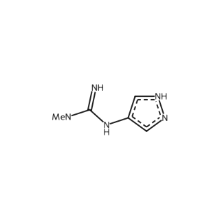 CNC(=N)Nc1cn[nH]c1